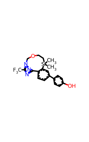 C[Si]1(C)CCOCn2nc(nc2C(F)(F)F)-c2ccc(-c3ccc(O)cc3)cc21